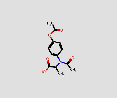 CC(=O)Oc1ccc(N(C(C)=O)C(C)C(=O)O)cc1